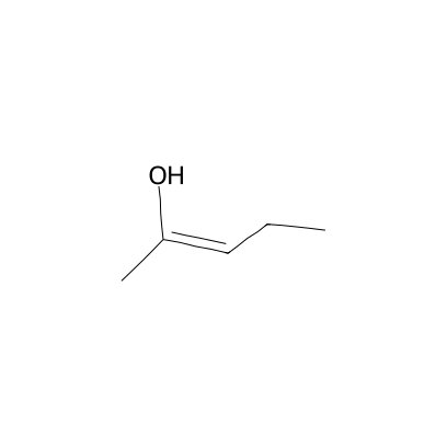 CC/C=C(/C)O